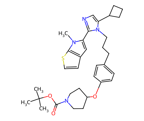 Cn1c(-c2ncc(C3CCC3)n2CCCc2ccc(OC3CCN(C(=O)OC(C)(C)C)CC3)cc2)cc2ccsc21